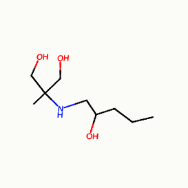 CCCC(O)CNC(C)(CO)CO